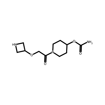 NC(=O)OC1CCN(C(=O)COC2CNC2)CC1